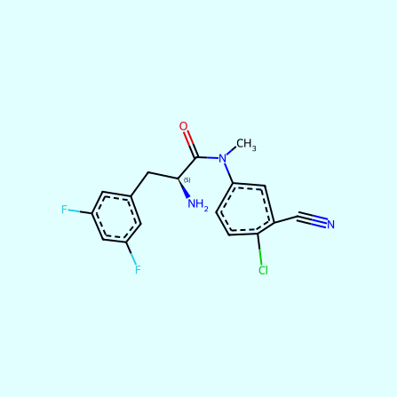 CN(C(=O)[C@@H](N)Cc1cc(F)cc(F)c1)c1ccc(Cl)c(C#N)c1